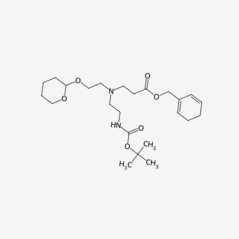 CC(C)(C)OC(=O)NCCN(CCOC1CCCCO1)CCC(=O)OCC1=CCCC=C1